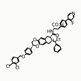 CC[C@@H](c1ccccc1)N1Cc2cc3c(cc2C[C@H]1C(=O)N[C@@H](Cc1ccc(-c2ccncc2F)cc1)C(=O)O)OC[C@H](c1ccc(OCc2ccc(Cl)c(Cl)c2)cc1)O3